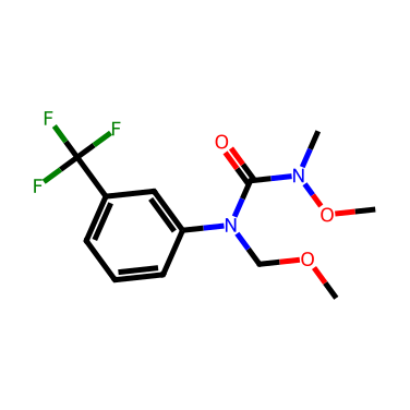 COCN(C(=O)N(C)OC)c1cccc(C(F)(F)F)c1